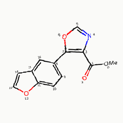 COC(=O)c1ncoc1-c1ccc2occc2c1